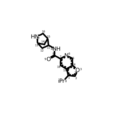 CC(C)c1coc2cnc(C(=O)NC3CC4CC3CN4)cc12